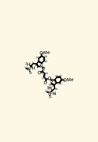 [2H]C([2H])(Cc1cn(OC(=O)/C=C/C(=O)On2cc(CC([2H])([2H])N(C)C)c3cc(OC)ccc32)c2ccc(OC)cc12)N(C)C